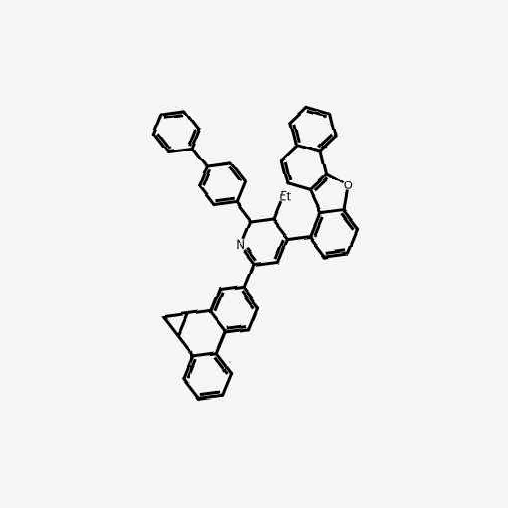 CCC1C(c2cccc3oc4c5ccccc5ccc4c23)=CC(c2ccc3c(c2)C2CC2c2ccccc2-3)=NC1c1ccc(-c2ccccc2)cc1